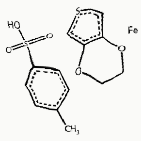 Cc1ccc(S(=O)(=O)O)cc1.[Fe].c1scc2c1OCCO2